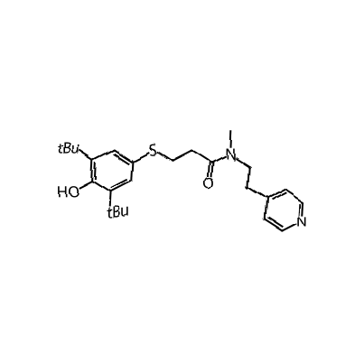 CN(CCc1ccncc1)C(=O)CCSc1cc(C(C)(C)C)c(O)c(C(C)(C)C)c1